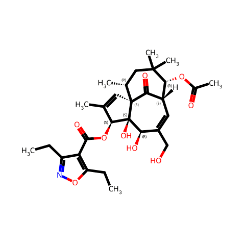 CCc1noc(CC)c1C(=O)O[C@H]1C(C)=C[C@]23C(=O)[C@@H](C=C(CO)[C@@H](O)[C@]12O)[C@@H](OC(C)=O)C(C)(C)C[C@H]3C